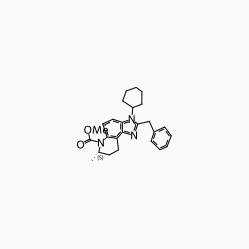 COC(=O)N1c2ccc3c(nc(Cc4ccccc4)n3C3CCCCC3)c2CC[C@@H]1C